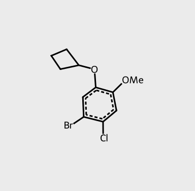 COc1cc(Cl)c(Br)cc1OC1CCC1